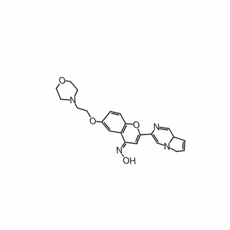 ON=c1cc(C2=CN3CC=CC3C=N2)oc2ccc(OCCN3CCOCC3)cc12